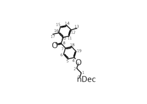 CCCCCCCCCCCCOc1ccc(C(=O)c2cc(C)ccc2C)cc1